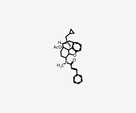 CC(=O)O[C@@]12CCC(N(C)C(=O)/C=C/c3ccccc3)C3Oc4cccc5c4[C@@]31CCN(CC1CC1)[C@@H]2C5